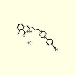 Cl.N#Cc1ccc(N2CCN(CCCc3cc4cccc(F)c4c(=O)[nH]3)CC2)cc1